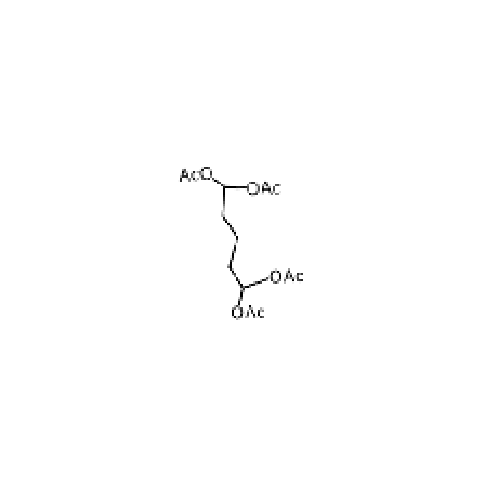 CC(=O)OC(CCCC(OC(C)=O)OC(C)=O)OC(C)=O